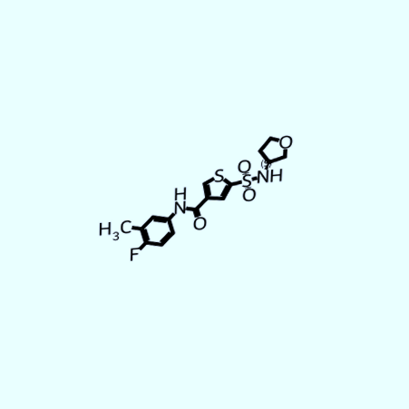 Cc1cc(NC(=O)c2csc(S(=O)(=O)N[C@H]3CCOC3)c2)ccc1F